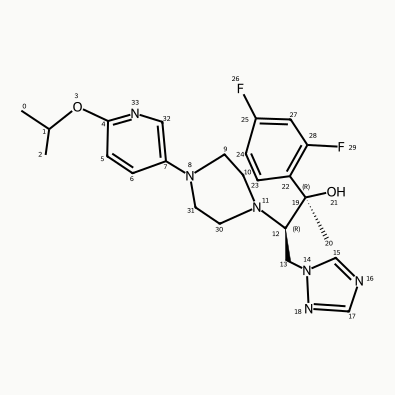 CC(C)Oc1ccc(N2CCN([C@H](Cn3cncn3)[C@](C)(O)c3ccc(F)cc3F)CC2)cn1